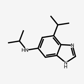 CC(C)Nc1cc(C(C)C)c2nc[nH]c2c1